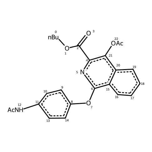 CCCCOC(=O)c1nc(Oc2ccc(NC(C)=O)cc2)c2ccccc2c1OC(C)=O